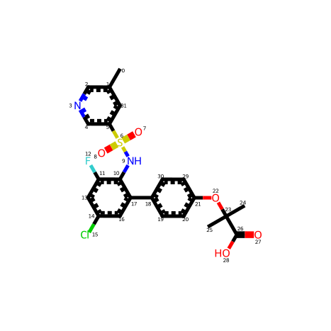 Cc1cncc(S(=O)(=O)Nc2c(F)cc(Cl)cc2-c2ccc(OC(C)(C)C(=O)O)cc2)c1